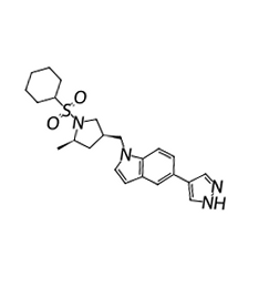 C[C@@H]1C[C@H](Cn2ccc3cc(-c4cn[nH]c4)ccc32)CN1S(=O)(=O)C1CCCCC1